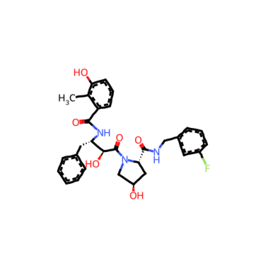 Cc1c(O)cccc1C(=O)N[C@@H](Cc1ccccc1)[C@H](O)C(=O)N1C[C@H](O)C[C@H]1C(=O)NCc1cccc(F)c1